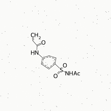 C=CC(=O)Nc1ccc(S(=O)(=O)NC(C)=O)cc1